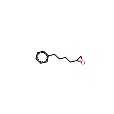 c1ccc(CCCCC2CO2)cc1